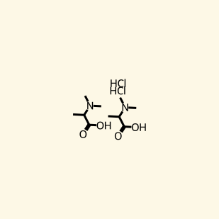 CC(C(=O)O)N(C)C.CC(C(=O)O)N(C)C.Cl.Cl